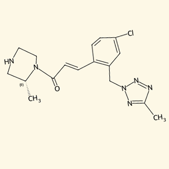 Cc1nnn(Cc2cc(Cl)ccc2C=CC(=O)N2CCNC[C@H]2C)n1